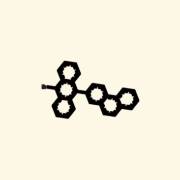 Brc1c2ccccc2c(-c2ccc3c(ccc4ccccc43)c2)c2ccccc12